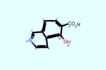 O=C(O)c1ccc2cnccc2c1O